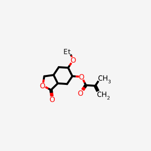 C=C(C)C(=O)OC1CC2C(=O)OCC2CC1OCC